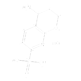 Cl.NC1CCOc2nc(P(=O)(O)O)ccc21